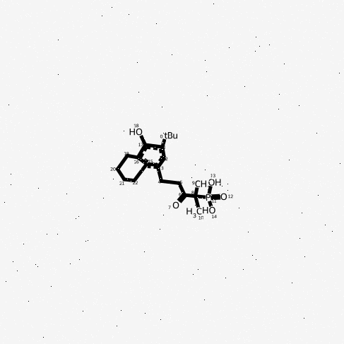 CC(C)(C)c1cc(CCC(=O)C(C)(C)P(=O)(O)O)c2c(c1O)CCCC2